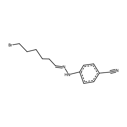 N#Cc1ccc(NN=CCCCCCBr)cc1